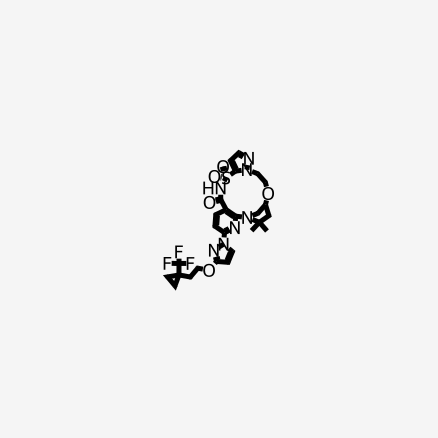 CC1(C)CC2CN1c1nc(-n3ccc(OCCC4(C(F)(F)F)CC4)n3)ccc1C(=O)NS(=O)(=O)c1ccnn1CCO2